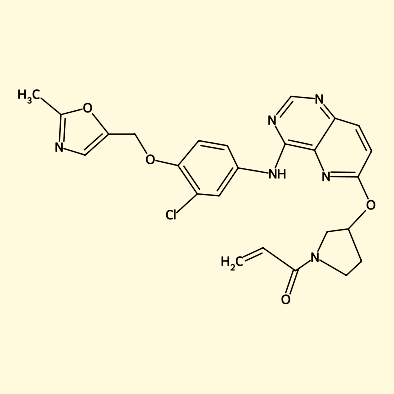 C=CC(=O)N1CCC(Oc2ccc3ncnc(Nc4ccc(OCc5cnc(C)o5)c(Cl)c4)c3n2)C1